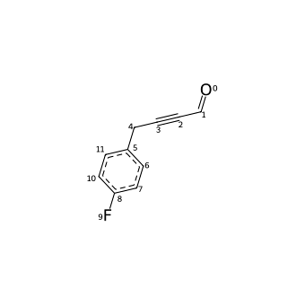 O=CC#CCc1ccc(F)cc1